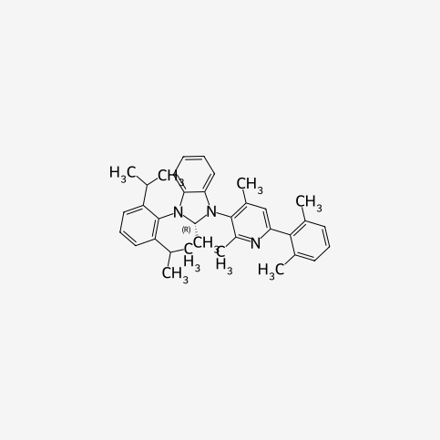 Cc1cccc(C)c1-c1cc(C)c(N2c3ccccc3N(c3c(C(C)C)cccc3C(C)C)[C@H]2C)c(C)n1